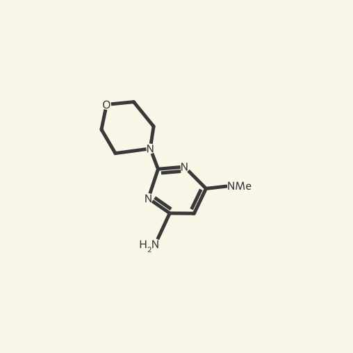 CNc1cc(N)nc(N2CCOCC2)n1